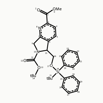 COC(=O)c1ccc2c(n1)CN(C(=O)OC(C)(C)C)C2CO[Si](c1ccccc1)(c1ccccc1)C(C)(C)C